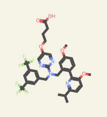 COc1ccc(-c2nc(C(C)C)ccc2OC)c(CN(Cc2cc(C(F)(F)F)cc(C(F)(F)F)c2)c2ncc(OCCCC(=O)O)cn2)c1